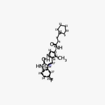 Cc1c(NC(=O)CCN2CCCCC2)c[nH]c1/C=C1\C(=O)Nc2ccc(F)cc21